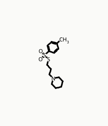 Cc1ccc(S(=O)(=O)SCCCN2CCCCC2)cc1